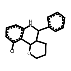 Clc1cccc2c1C1OCCCC1C(c1ccccc1)N2